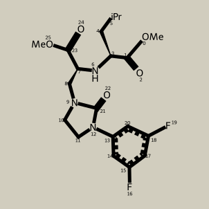 COC(=O)[C@H](CC(C)C)N[C@@H](CN1CCN(c2cc(F)cc(F)c2)C1=O)C(=O)OC